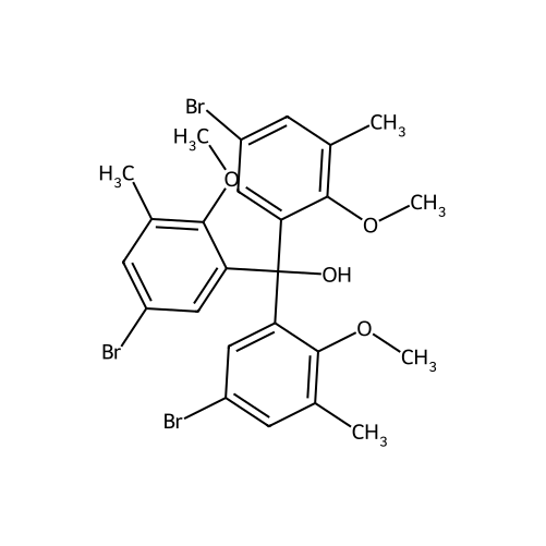 COc1c(C)cc(Br)cc1C(O)(c1cc(Br)cc(C)c1OC)c1cc(Br)cc(C)c1OC